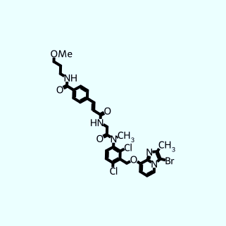 COCCCNC(=O)c1ccc(C=CC(=O)NCC(=O)N(C)c2ccc(Cl)c(COc3cccn4c(Br)c(C)nc34)c2Cl)cc1